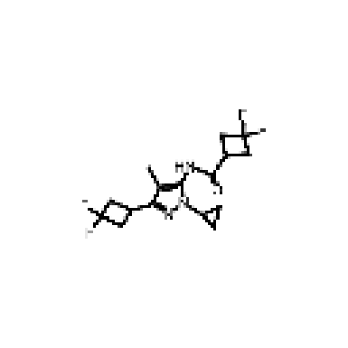 Cc1c(C2CC(F)(F)C2)nn(C2CC2)c1NC(=O)C1CC(F)(F)C1